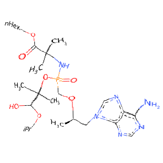 CCCCCCOC(=O)C(C)(C)NP(=O)(CO[C@H](C)Cn1cnc2c(N)ncnc21)OC(C)(C)C(O)OC(C)C